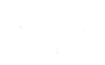 CC(=O)Nc1ccc(S(=O)(=O)Nc2ccc(C34CC5CC(C)(CC(C)(C5)C3)C4)cc2Cl)cc1